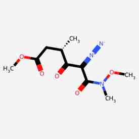 COC(=O)C[C@H](C)C(=O)C(=[N+]=[N-])C(=O)N(C)OC